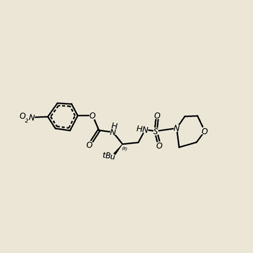 CC(C)(C)[C@H](CNS(=O)(=O)N1CCOCC1)NC(=O)Oc1ccc([N+](=O)[O-])cc1